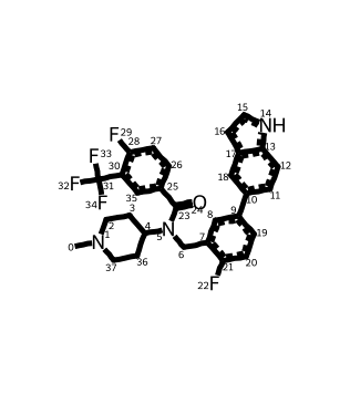 CN1CCC(N(Cc2cc(-c3ccc4[nH]ccc4c3)ccc2F)C(=O)c2ccc(F)c(C(F)(F)F)c2)CC1